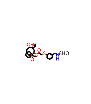 C=C[C@]1(C)C[C@@H](OC(=O)CSc2cccc(CNC=O)c2)[C@]2(C)C(C)CC34CC(CCC3=O)(C[C@@H]1O)C42